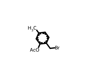 CC(=O)Oc1cc(C)ccc1CBr